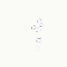 COc1ccc(C2c3c(nc4cc(C(F)(F)F)ccn34)CCN2C(=O)COc2ccc(CN3CCOCC3)nc2Cl)cc1OC